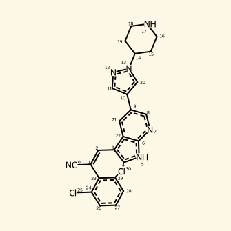 N#C/C(=C/c1c[nH]c2ncc(-c3cnn(C4CCNCC4)c3)cc12)c1c(Cl)cccc1Cl